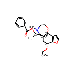 COCO[C@@H]1C[C@@]23CN(C)CCO[C@@]2(CC=C3[C@@H](C)OC(=O)c2ccccc2)c2ccoc21